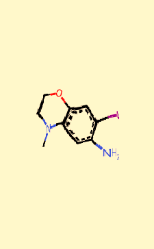 CN1CCOc2cc(I)c(N)cc21